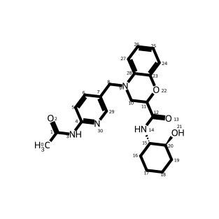 CC(=O)Nc1ccc(CN2CC(C(=O)N[C@H]3CCCC[C@@H]3O)Oc3ccccc32)cn1